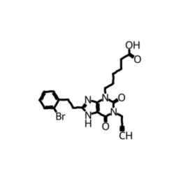 C#CCn1c(=O)c2[nH]c(CCc3ccccc3Br)nc2n(CCCCCC(=O)O)c1=O